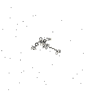 COC(=O)CCCCCCCC(=O)N[C@H](C(=O)N1C[C@H](O)C[C@H]1C(=O)NCc1ccc(-c2scnc2C)cc1)C(C)(C)C